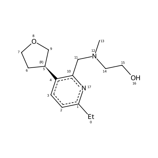 CCc1ccc([C@H]2CCOC2)c(CN(C)CCO)n1